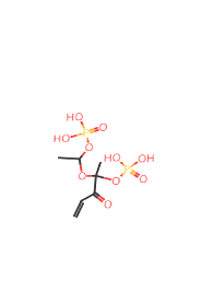 C=CC(=O)C(C)(OC(C)OP(=O)(O)O)OP(=O)(O)O